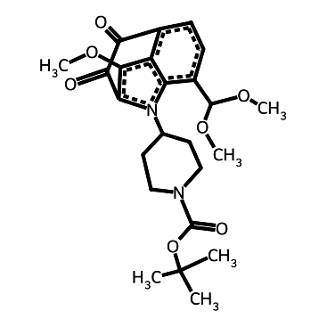 COc1c2n(C3CCN(C(=O)OC(C)(C)C)CC3)c3c(C(OC)OC)ccc(c13)C(=O)C2=O